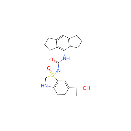 CC(C)(O)c1ccc2c(c1)S(=O)(=NC(=O)Nc1c3c(cc4c1CCC4)CCC3)CN2